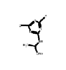 COC(C)Nc1nc(Cl)nc(Cl)n1